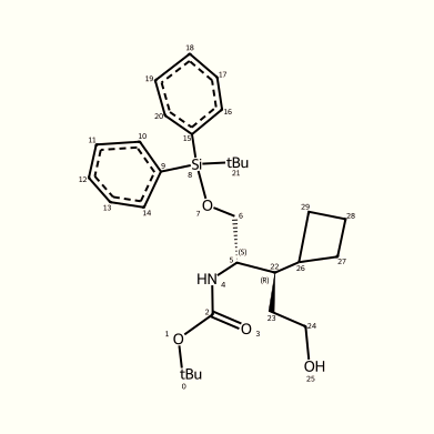 CC(C)(C)OC(=O)N[C@H](CO[Si](c1ccccc1)(c1ccccc1)C(C)(C)C)[C@H](CCO)C1CCC1